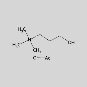 CC(=O)[O-].C[N+](C)(C)CCCO